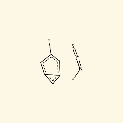 FN=C=S.Fc1cc2cc-2c1